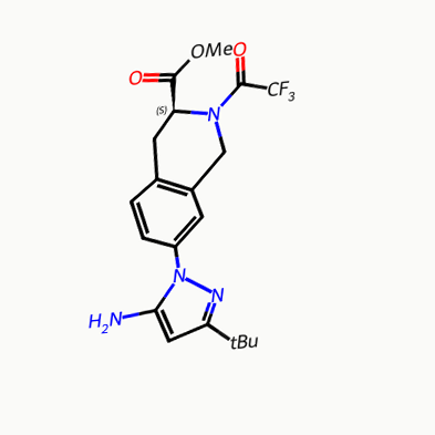 COC(=O)[C@@H]1Cc2ccc(-n3nc(C(C)(C)C)cc3N)cc2CN1C(=O)C(F)(F)F